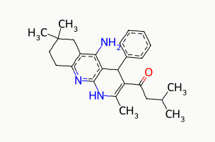 CC1=C(C(=O)CC(C)C)C(c2ccccc2)c2c(nc3c(c2N)CC(C)(C)CC3)N1